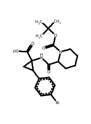 CC(C)(C)OC(=O)N1CCCCC1C(=O)NC1(C(=O)O)CC1c1ccc(Br)cc1